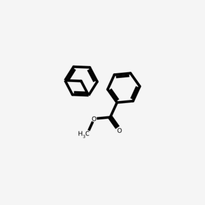 COC(=O)c1ccccc1.c1cc2cc(c1)C2